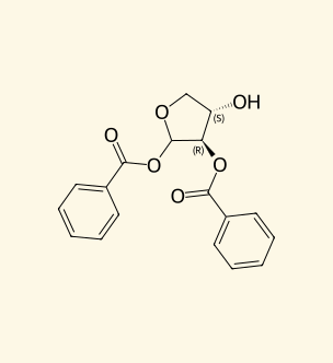 O=C(OC1OC[C@H](O)[C@H]1OC(=O)c1ccccc1)c1ccccc1